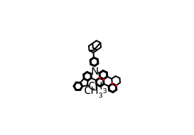 CC1(C)c2ccccc2-c2ccc(N(c3ccc(C4CCCCC4)cc3)c3ccc(C4C5CC6CC(C5)CC4C6)cc3)c(-c3ccc(-c4ccccc4)cc3)c21